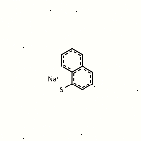 [Na+].[S-]c1cccc2ccccc12